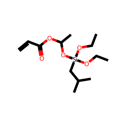 C=CC(=O)OC(C)O[Si](CC(C)C)(OCC)OCC